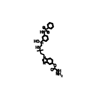 CC(C)(CCn1cnc2cc(OC(=O)NN)ccc21)NC[C@H](O)c1cccc(NS(=O)(=O)c2ccccc2)c1